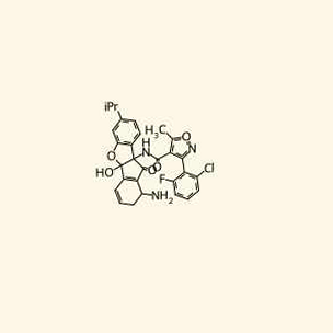 Cc1onc(-c2c(F)cccc2Cl)c1C(=O)NC12C(=O)C3=C(C=CCC3N)C1(O)Oc1cc(C(C)C)ccc12